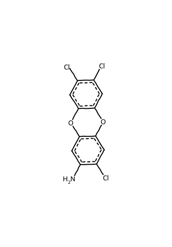 Nc1cc2c(cc1Cl)Oc1cc(Cl)c(Cl)cc1O2